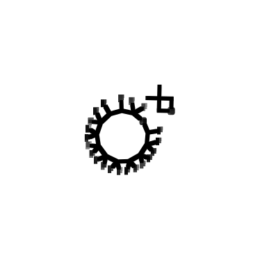 CC1(C)COC1.FC1C(F)C(F)(F)C(F)(F)C(F)(F)C(F)(F)C(F)(F)C(F)(F)C(F)(F)C(F)(F)C(F)OC1(F)F